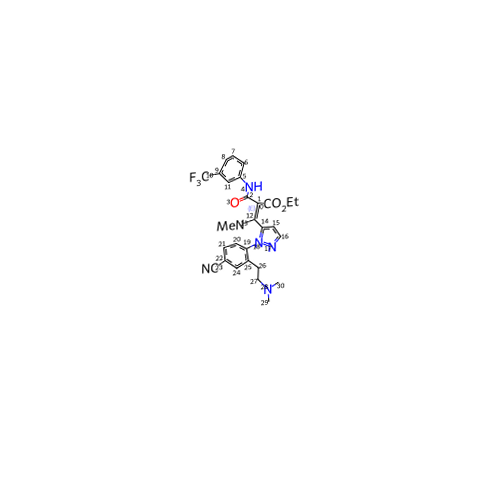 CCOC(=O)/C(C(=O)Nc1cccc(C(F)(F)F)c1)=C(/NC)c1ccnn1-c1ccc(C#N)cc1CCN(C)C